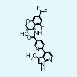 Cc1c[nH]c2nccc(-c3ccc(C(=O)N[C@@H]4c5c(F)cc(C(F)F)cc5OC[C@H]4O)cn3)c12